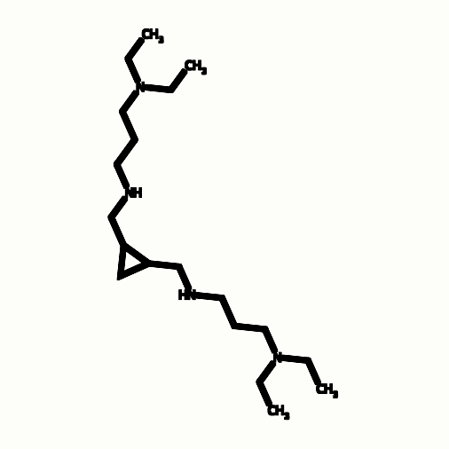 CCN(CC)CCCNCC1CC1CNCCCN(CC)CC